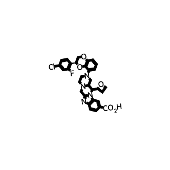 O=C(O)c1ccc2nc3n(c2c1)C(C1CCO1)C1CN(c2cccc4c2O[C@@H](c2ccc(Cl)cc2F)CO4)CCN1C3